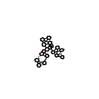 c1ccc2c(c1)Cc1cccc3c4ccccc4n(c13)-c1ccccc1Cc1cccc(-c3cccc4c(-c5cccc6c5-c5c(ccc7ccccc57)C65c6ccccc6-c6ccccc65)c5cccc(-c6cccc7c6-c6ccccc6C76c7ccccc7-n7c8ccccc8c8cccc6c87)c5cc34)c1-2